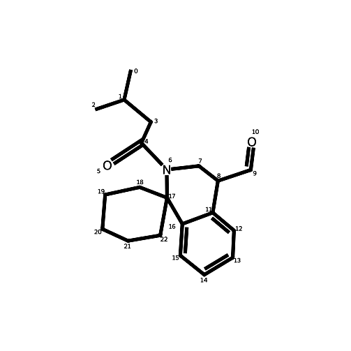 CC(C)CC(=O)N1CC(C=O)c2ccccc2C12CCCCC2